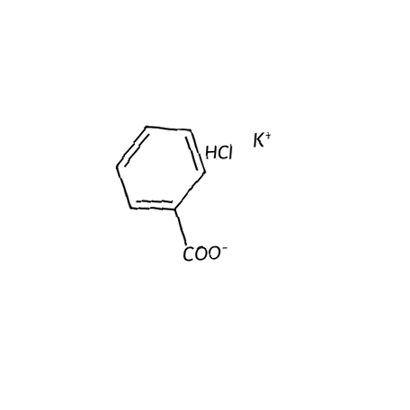 Cl.O=C([O-])c1ccccc1.[K+]